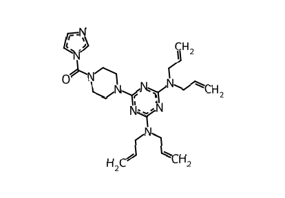 C=CCN(CC=C)c1nc(N(CC=C)CC=C)nc(N2CCN(C(=O)n3ccnc3)CC2)n1